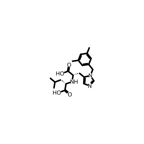 Cc1cc(C)cc(Cn2cncc2C[C@H](N[C@@H](CC(C)C)C(=O)O)C(=O)O)c1